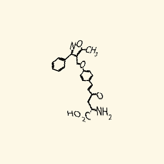 Cc1onc(-c2ccccc2)c1COc1ccc(C=CC(=O)C[C@H](N)C(=O)O)cc1